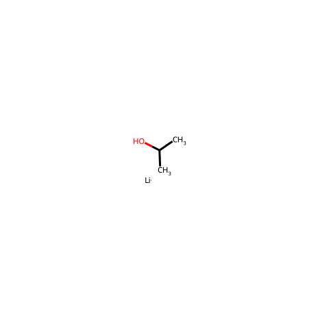 CC(C)O.[Li]